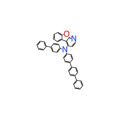 c1ccc(-c2ccc(-c3ccc(N(c4ccc(-c5ccccc5)cc4)c4ccnc5oc6ccccc6c45)cc3)cc2)cc1